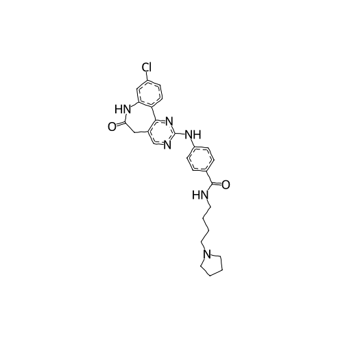 O=C1Cc2cnc(Nc3ccc(C(=O)NCCCCN4CCCC4)cc3)nc2-c2ccc(Cl)cc2N1